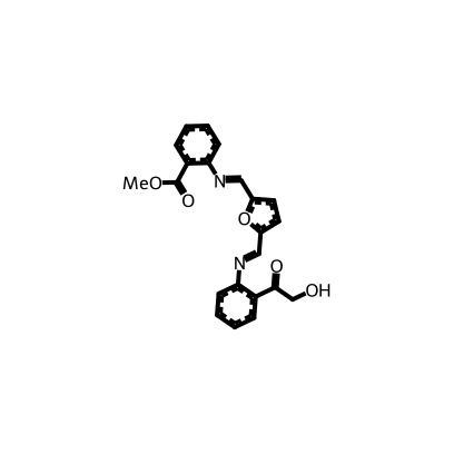 COC(=O)c1ccccc1N=Cc1ccc(C=Nc2ccccc2C(=O)CO)o1